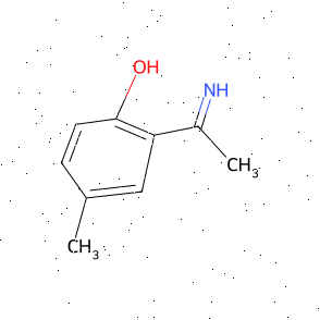 CC(=N)c1cc(C)ccc1O